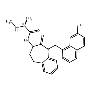 CN[C@@H](C)C(=O)NC1CCc2ccccc2N(Cc2cccc3ccc(C)cc23)C1=O